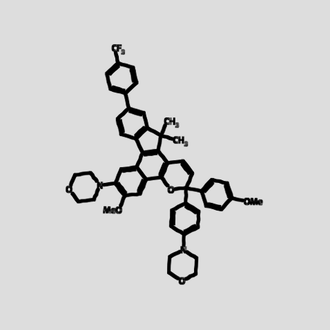 COc1ccc(C2(c3ccc(N4CCOCC4)cc3)C=Cc3c4c(c5cc(N6CCOCC6)c(OC)cc5c3O2)-c2ccc(-c3ccc(C(F)(F)F)cc3)cc2C4(C)C)cc1